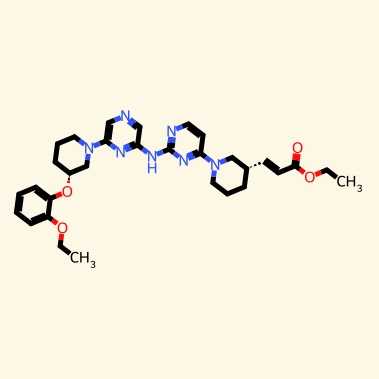 CCOC(=O)/C=C/[C@@H]1CCCN(c2ccnc(Nc3cncc(N4CCC[C@@H](Oc5ccccc5OCC)C4)n3)n2)C1